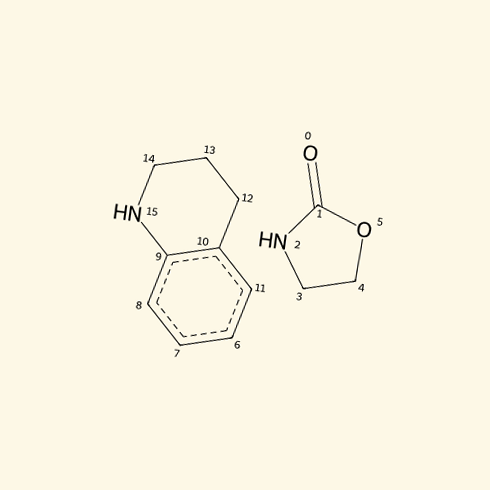 O=C1NCCO1.c1ccc2c(c1)CCCN2